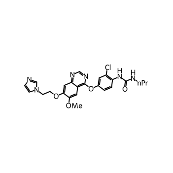 CCCNC(=O)Nc1ccc(Oc2ncnc3cc(OCCn4ccnc4)c(OC)cc23)cc1Cl